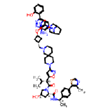 Cc1ncsc1-c1ccc([C@H](C)NC(=O)[C@@H]2C[C@@H](O)CN2C(=O)[C@@H](c2cc(N3CCC4(CCCN(C[C@H]5C[C@H](Oc6cc(N7C8CCC7CN(c7cc(-c9ccccc9O)nnc7N)C8)ccn6)C5)C4)CC3)no2)C(C)C)cc1